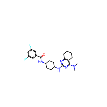 CN(C)c1nc(NC2CCC(NC(=O)c3cc(F)cc(F)c3)CC2)nc2c1CCCC2